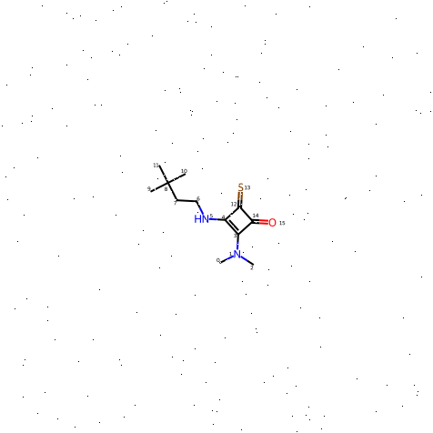 CN(C)c1c(NCCC(C)(C)C)c(=S)c1=O